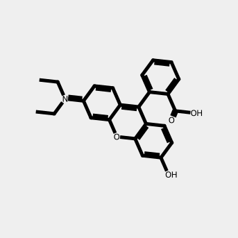 CC[N+](CC)=c1ccc2c(-c3ccccc3C(=O)O)c3ccc(O)cc3oc-2c1